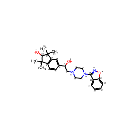 CC1(C)c2ccc(C(O)CN3CCN(c4noc5ccccc45)CC3)cc2C(C)(C)C1O